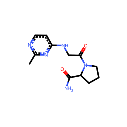 Cc1nccc(NCC(=O)N2CCCC2C(N)=O)n1